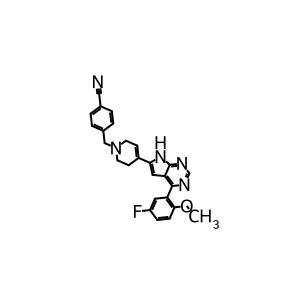 COc1ccc(F)cc1-c1ncnc2[nH]c(C3=CCN(Cc4ccc(C#N)cc4)CC3)cc12